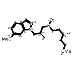 CCN(CC[C@H](C)CCOC)C[C@@H](C)Cn1ncc2ccc(OC)cc21